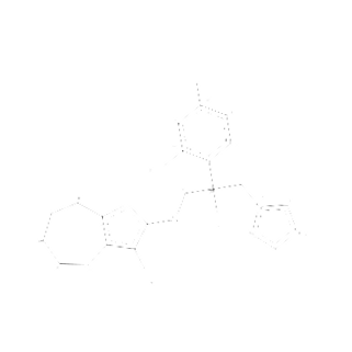 CCOC(=O)c1c(NCC(O)(Cn2cncn2)c2ccc(F)cc2F)sc2c1CCCCC2